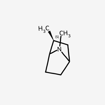 C[C@H]1CC2CCC1N2C